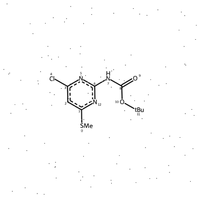 CSc1cc(Cl)nc(NC(=O)OC(C)(C)C)n1